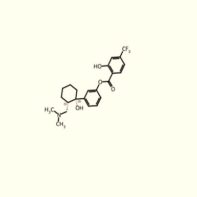 CN(C)C[C@@H]1CCCC[C@@]1(O)c1cccc(OC(=O)c2ccc(C(F)(F)F)cc2O)c1